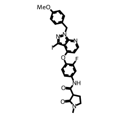 COc1ccc(Cn2nc(I)c3c(Oc4ccc(NC(=O)C5CCN(C)C5=O)cc4F)ccnc32)cc1